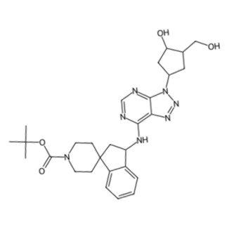 CC(C)(C)OC(=O)N1CCC2(CC1)CC(Nc1ncnc3c1nnn3C1CC(O)C(CO)C1)c1ccccc12